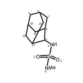 CNS(=O)(=O)NC1C2CC3CC(C2)CC1C3